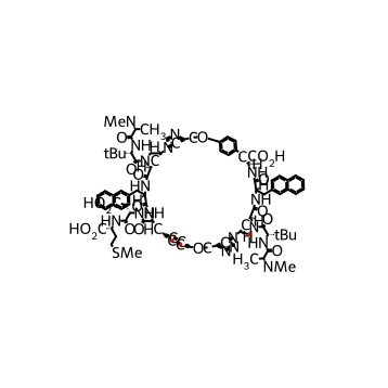 CN[C@@H](C)C(=O)N[C@H](C(=O)N1C[C@@H]2C[C@H]1C(=O)N[C@@H](Cc1ccc3ccccc3c1)C(=O)N[C@H](C(=O)O)Cc1ccc(cc1)OCc1cn(cn1)[C@H]1C[C@@H](C(=O)N[C@@H](Cc3ccc4ccccc4c3)C(=O)N[C@H](C(=O)N[C@@H](CC(=O)O)C(=O)N[C@H](CCSC)C(=O)O)Cc3ccc(cc3)OCc3cn2nn3)N(C(=O)[C@@H](NC(=O)[C@H](C)NC)C(C)(C)C)C1)C(C)(C)C